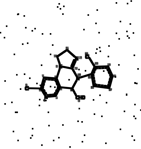 O=CC1c2cnc(Cl)cc2N2CCN=C2N1c1ccccc1Cl